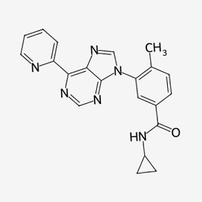 Cc1ccc(C(=O)NC2CC2)cc1-n1cnc2c(-c3ccccn3)ncnc21